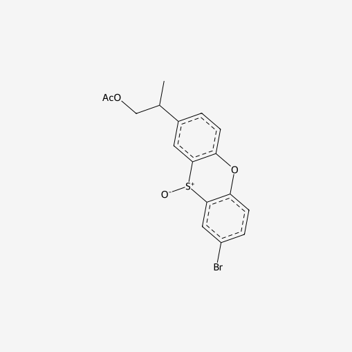 CC(=O)OCC(C)c1ccc2c(c1)[S+]([O-])c1cc(Br)ccc1O2